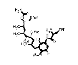 CCC/C=C(\C)C(=O)Nc1cc(F)c(OC)c(C[C@@H](C)C[C@H](OC)[C@H](O)[C@@H](C)/C=C(\C)[C@@H](COC)OC(N)=O)c1O